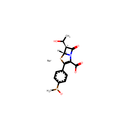 CC(O)[C@H]1C(=O)N2C(C(=O)[O-])=C(c3ccc([S+](C)[O-])cc3)S[C@H]12.[Na+]